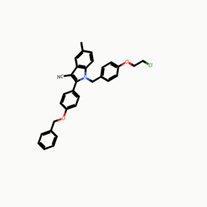 Cc1ccc2c(c1)c(C#N)c(-c1ccc(OCc3ccccc3)cc1)n2Cc1ccc(OCCCl)cc1